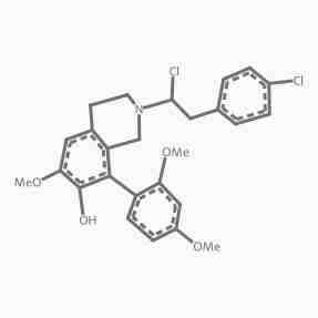 COc1ccc(-c2c(O)c(OC)cc3c2CN(C(Cl)Cc2ccc(Cl)cc2)CC3)c(OC)c1